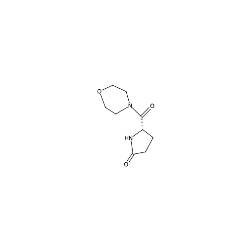 O=C1CC[C@@H](C(=O)N2CCOCC2)N1